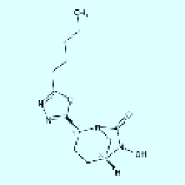 CCCCCc1nnc([C@@H]2CC[C@@H]3CN2C(=O)N3O)o1